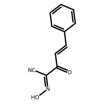 N#C/C(=N\O)C(=O)/C=C/c1ccccc1